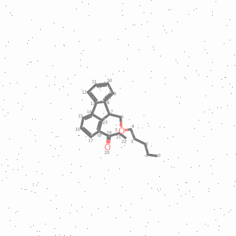 CCCCCOCC1c2ccccc2-c2cccc(C(=O)CC)c21